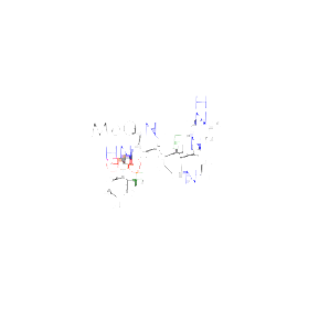 COc1ncc(-c2ccc3nccc(N4CCNCC4)c3c2F)cc1NS(=O)(=O)c1ccccc1F